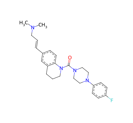 CN(C)CC=Cc1ccc2c(c1)CCCN2C(=O)N1CCN(c2ccc(F)cc2)CC1